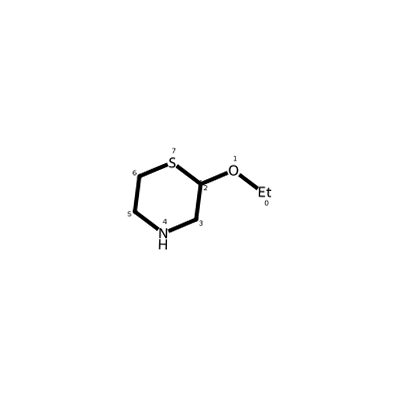 CCO[C]1CNCCS1